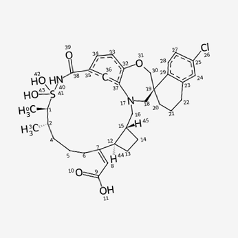 C[C@@H]1[C@@H](C)CCC/C(=C\C(=O)O)[C@@H]2CC[C@H]2CN2C[C@@]3(CCCc4cc(Cl)ccc43)COc3ccc(cc32)C(=O)NS1(O)O